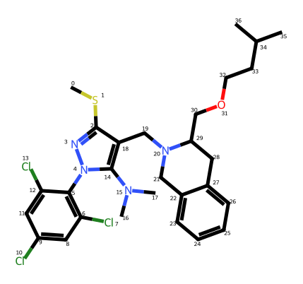 CSc1nn(-c2c(Cl)cc(Cl)cc2Cl)c(N(C)C)c1CN1Cc2ccccc2CC1COCCC(C)C